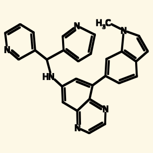 Cn1ccc2ccc(-c3cc(NC(c4cccnc4)c4cccnc4)cc4nccnc34)cc21